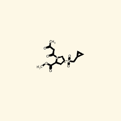 COC(=O)C1C[C@@H](S(=O)(=O)CC2CC2)CN1C(=O)CC(C)=O